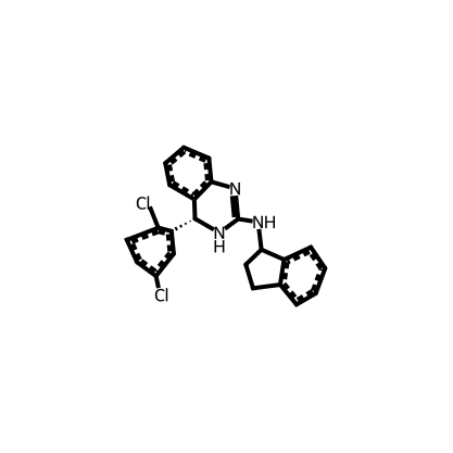 Clc1ccc(Cl)c([C@H]2NC(NC3CCc4ccccc43)=Nc3ccccc32)c1